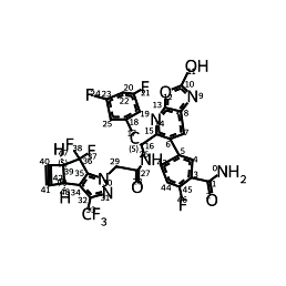 NC(=O)c1cc(-c2cc3nc(O)oc3nc2[C@H](Cc2cc(F)cc(F)c2)NC(=O)Cn2nc(C(F)(F)F)c3c2C(F)(F)[C@@H]2C#C[C@H]32)ccc1F